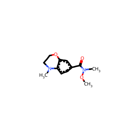 CON(C)C(=O)c1ccc2c(c1)OCCN2C